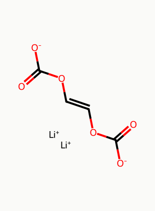 O=C([O-])OC=COC(=O)[O-].[Li+].[Li+]